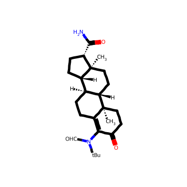 CC(C)(C)N(C=O)C1=C2CC[C@H]3[C@@H]4CC[C@H](C(N)=O)[C@@]4(C)CC[C@@H]3[C@@]2(C)CCC1=O